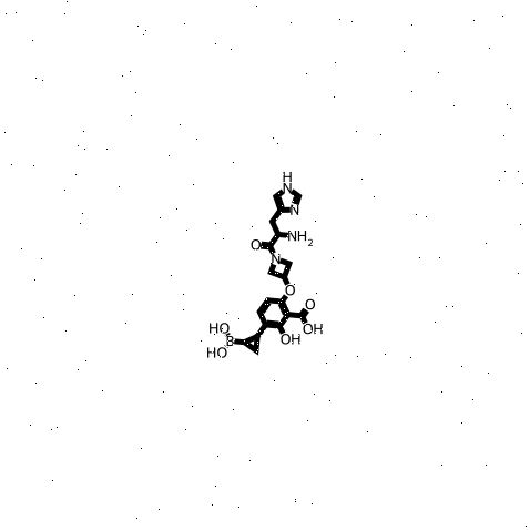 NC(Cc1c[nH]cn1)C(=O)N1CC(Oc2ccc(C3CC3B(O)O)c(O)c2C(=O)O)C1